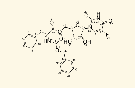 O=C(NC(Cc1ccccc1)C(=O)OC[C@H]1O[C@@H](n2cc(F)c(=O)[nH]c2=O)[C@@H](O)[C@@H]1O)OCc1ccccc1